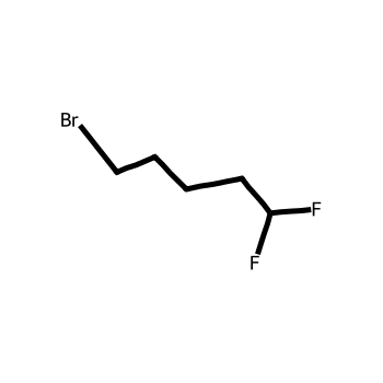 FC(F)CCCCBr